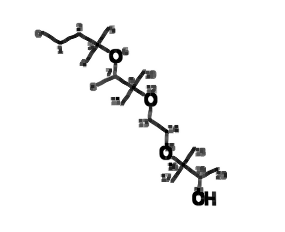 CCCC(C)(C)OC(C)C(C)(C)OCCOC(C)(C)C(C)O